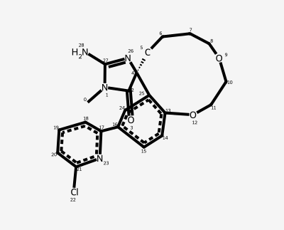 CN1C(=O)[C@@]2(CCCCOCCOc3ccc(-c4cccc(Cl)n4)cc32)N=C1N